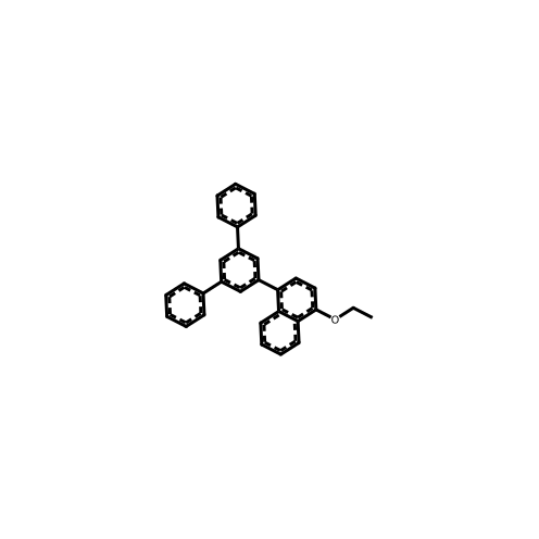 CCOc1ccc(-c2cc(-c3ccccc3)cc(-c3ccccc3)c2)c2ccccc12